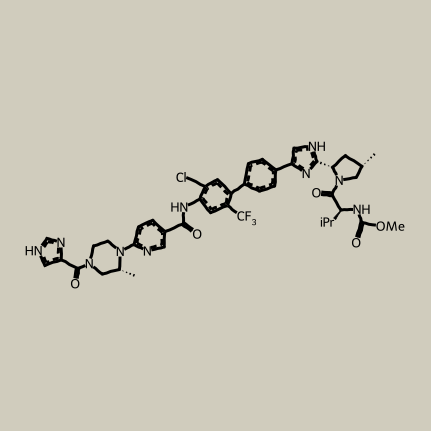 COC(=O)N[C@H](C(=O)N1C[C@@H](C)C[C@H]1c1nc(-c2ccc(-c3cc(Cl)c(NC(=O)c4ccc(N5CCN(C(=O)c6c[nH]cn6)C[C@H]5C)nc4)cc3C(F)(F)F)cc2)c[nH]1)C(C)C